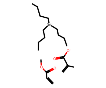 C=C(C)C(=O)[O-].C=CC(=O)OC.CCC[CH2][Sn+]([CH2]CCC)[CH2]CCC